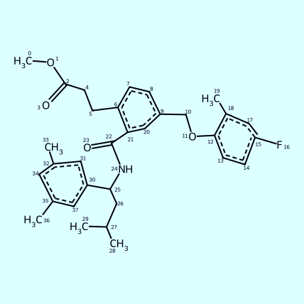 COC(=O)CCc1ccc(COc2ccc(F)cc2C)cc1C(=O)NC(CC(C)C)c1cc(C)cc(C)c1